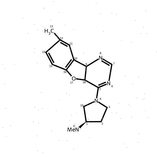 CN[C@@H]1CCN(C2=NC=NC3c4cc(C)ccc4OC23)C1